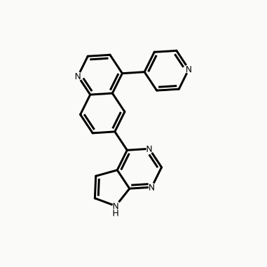 c1cc(-c2ccnc3ccc(-c4ncnc5[nH]ccc45)cc23)ccn1